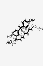 CC(C)(c1ccc(O)cc1)c1ccc(O)cc1.O=C(O)CCCCCCCCC(=O)O